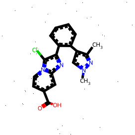 Cc1nn(C)cc1-c1ccccc1-c1nc2cc(C(=O)O)ccn2c1Cl